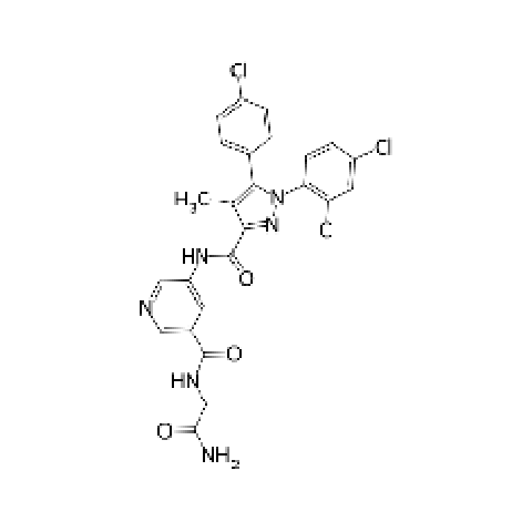 Cc1c(C(=O)Nc2cncc(C(=O)NCC(N)=O)c2)nn(-c2ccc(Cl)cc2Cl)c1-c1ccc(Cl)cc1